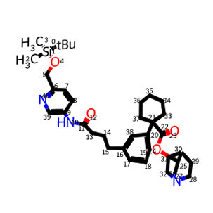 CC(C)(C)[Si](C)(C)OCc1ccc(NC(=O)CCCc2cccc(C3(C(=O)OC4CN5CCC4CC5)CCCCC3)c2)cn1